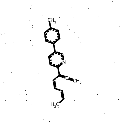 C=C=C(/C=C\C=C/C)c1ccc(-c2ccc(C)cc2)cn1